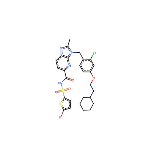 Cc1nc2ccc(C(=O)NS(=O)(=O)c3ccc(Br)s3)nc2n1Cc1ccc(OCCC2CCCCC2)cc1Cl